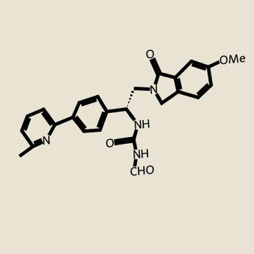 COc1ccc2c(c1)C(=O)N(C[C@H](NC(=O)NC=O)c1ccc(-c3cccc(C)n3)cc1)C2